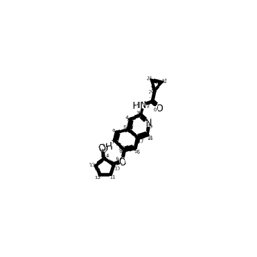 O=C(Nc1cc2ccc(OC3CCCC3O)cc2cn1)C1CC1